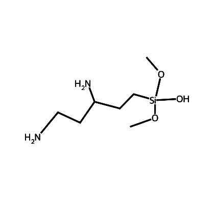 CO[Si](O)(CCC(N)CCN)OC